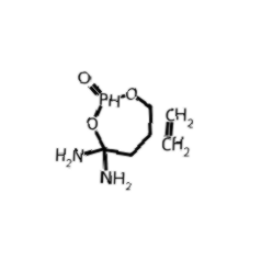 C=C.NC1(N)CCCO[PH](=O)O1